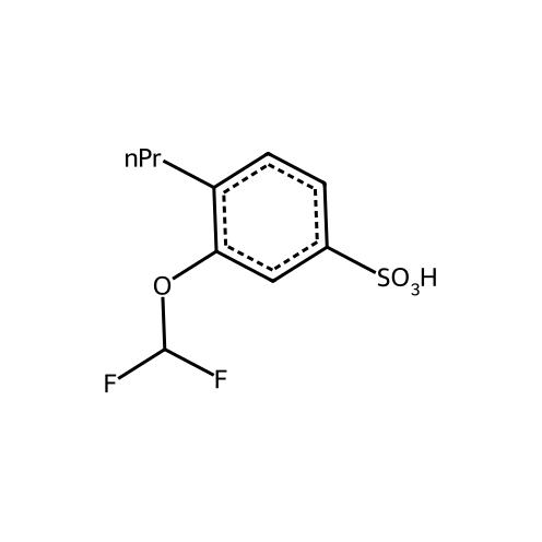 CCCc1ccc(S(=O)(=O)O)cc1OC(F)F